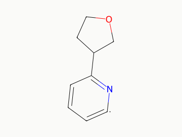 [c]1cccc(C2CCOC2)n1